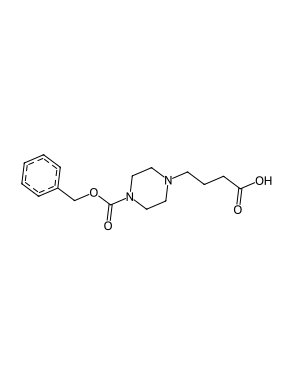 O=C(O)CCCN1CCN(C(=O)OCc2ccccc2)CC1